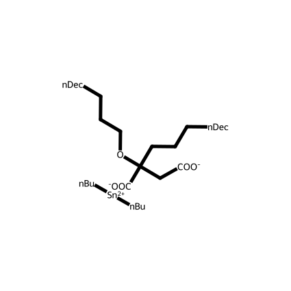 CCCCCCCCCCCCCOC(CCCCCCCCCCCCC)(CC(=O)[O-])C(=O)[O-].CCC[CH2][Sn+2][CH2]CCC